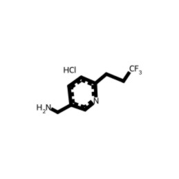 Cl.NCc1ccc(CCC(F)(F)F)nc1